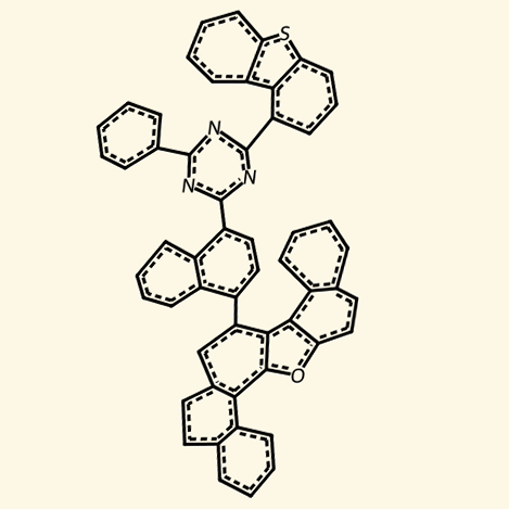 c1ccc(-c2nc(-c3ccc(-c4cc5ccc6ccccc6c5c5oc6ccc7ccccc7c6c45)c4ccccc34)nc(-c3cccc4sc5ccccc5c34)n2)cc1